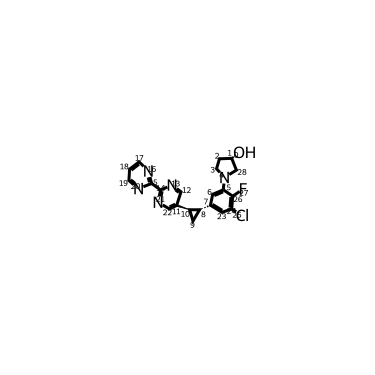 O[C@H]1CCN(c2cc([C@@H]3C[C@H]3c3cnc(-c4ncccn4)nc3)cc(Cl)c2F)C1